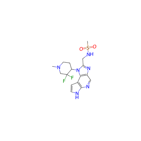 CN1CCC(n2c(CNS(C)(=O)=O)nc3cnc4[nH]ccc4c32)C(F)(F)C1